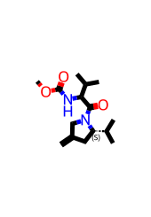 C=C1C[C@@H](C(C)C)N(C(=O)C(NC(=O)OC)C(C)C)C1